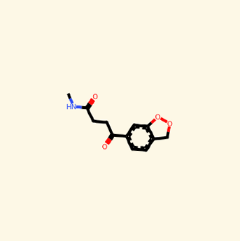 CNC(=O)CCC(=O)c1ccc2c(c1)OOC2